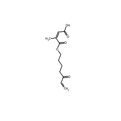 C=CC(=O)CCCCOC(=O)/C(C)=C\C(=O)O